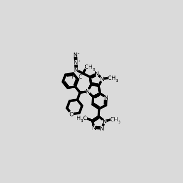 Cc1nnn(C)c1-c1cnc2c3c(c(C(C)(C)N=[N+]=[N-])nn3C)n(C(c3ccccc3)C3CCOCC3)c2c1